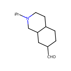 CC(C)N1CCC2CCC(C=O)CC2C1